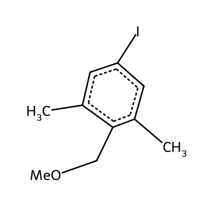 COCc1c(C)cc(I)cc1C